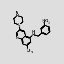 CN1CCN(c2cnc3cc(C(F)(F)F)cc(NCc4cccc([N+](=O)[O-])c4)c3c2)CC1